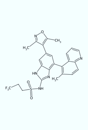 Cc1ccc2ncccc2c1-c1cc(-c2c(C)noc2C)cc2[nH]c(NS(=O)(=O)CCC(F)(F)F)nc12